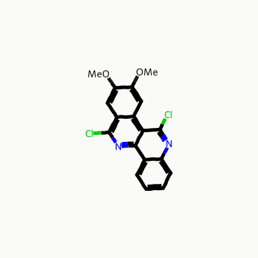 COc1cc2c(Cl)nc3c4ccccc4nc(Cl)c3c2cc1OC